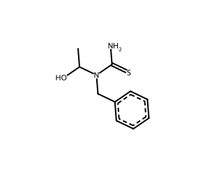 CC(O)N(Cc1ccccc1)C(N)=S